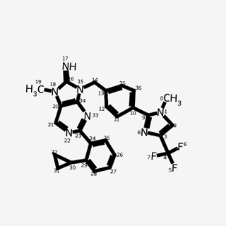 Cn1cc(C(F)(F)F)nc1-c1ccc(Cn2c(=N)n(C)c3cnc(-c4ccccc4C4CC4)nc32)cc1